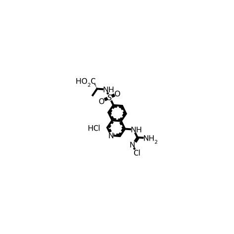 C[C@@H](NS(=O)(=O)c1ccc2c(NC(N)=NCl)cncc2c1)C(=O)O.Cl